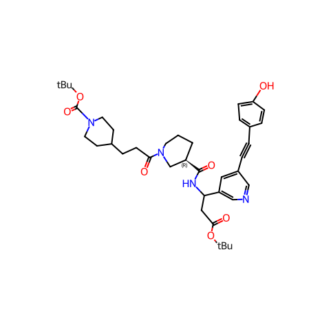 CC(C)(C)OC(=O)CC(NC(=O)[C@@H]1CCCN(C(=O)CCC2CCN(C(=O)OC(C)(C)C)CC2)C1)c1cncc(C#Cc2ccc(O)cc2)c1